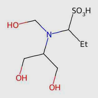 CCC(N(CO)C(CO)CO)S(=O)(=O)O